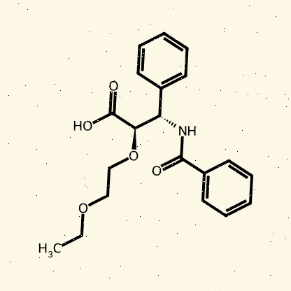 CCOCCO[C@@H](C(=O)O)[C@@H](NC(=O)c1ccccc1)c1ccccc1